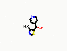 Cc1ncsc1C(O)c1ccncc1